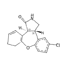 O=C1NC[C@@H]2c3cc(Cl)ccc3OC3=C(C=CCC3)[C@@H]12